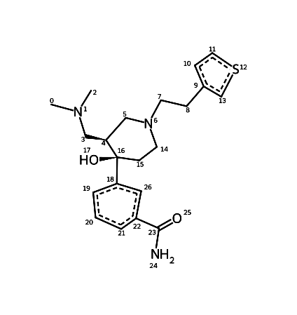 CN(C)C[C@H]1CN(CCc2ccsc2)CC[C@]1(O)c1cccc(C(N)=O)c1